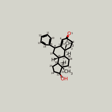 C[C@]12CCC(=O)C=C1C(c1ccccc1)C[C@@H]1[C@@H]2CC[C@]2(C)C(O)CC[C@@H]12